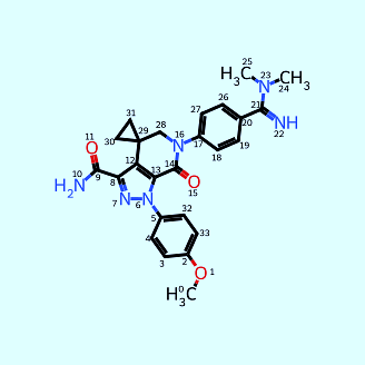 COc1ccc(-n2nc(C(N)=O)c3c2C(=O)N(c2ccc(C(=N)N(C)C)cc2)CC32CC2)cc1